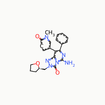 Cn1cc(-c2c(-c3ccccc3)nc(N)n3c(=O)n(C[C@H]4CCCO4)nc23)ccc1=O